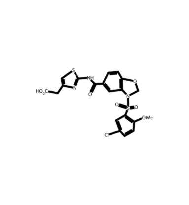 COc1ccc(Cl)cc1S(=O)(=O)N1COc2ccc(C(=O)Nc3nc(CC(=O)O)cs3)cc21